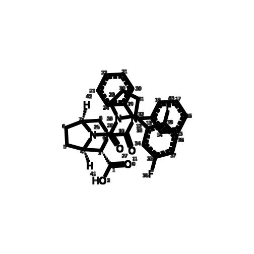 O=C(O)[C@@H]1[C@H]2CC[C@@H](CN1C(=O)N(c1ccccc1)c1ccccc1)N2C(=O)N1CCCC1c1cc(F)ccc1F